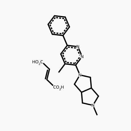 Cc1cc(-c2ccccc2)nnc1N1CC2CN(C)CC2C1.O=C(O)C=CC(=O)O